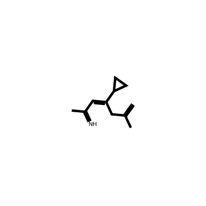 C=C(C)C/C(=C\C(C)=N)C1CC1